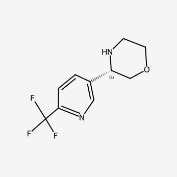 FC(F)(F)c1ccc([C@H]2COCCN2)cn1